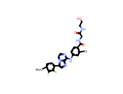 CCc1cc(Nc2nccn3c(-c4ccc(OC)c(F)c4F)cnc23)ccc1C(=O)NCC(=O)NCCO